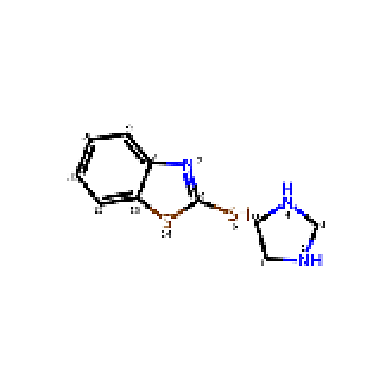 C1CNCN1.Sc1nc2ccccc2s1